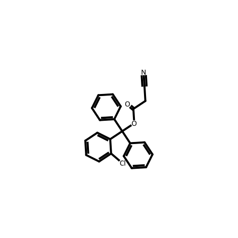 N#CCC(=O)OC(c1ccccc1)(c1ccccc1)c1ccccc1Cl